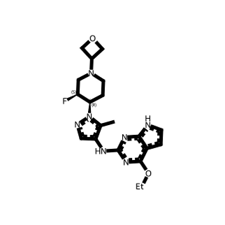 CCOc1nc(Nc2cnn([C@@H]3CCN(C4COC4)C[C@@H]3F)c2C)nc2[nH]ccc12